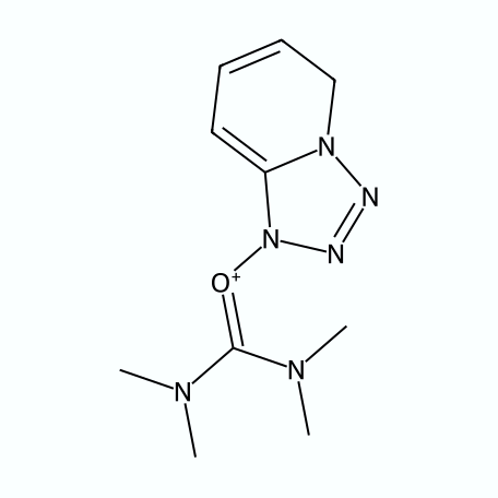 CN(C)C(=[O+]N1N=NN2CC=CC=C21)N(C)C